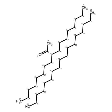 CC=O.CCCCCCCCCCCCCCCCC.CCCCCCCCCCCCCCCCO